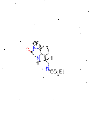 CCOC(=O)N1CC[C@H]2[C@@H](C1)c1cccc3c1N2CC(=O)N3C(F)(F)F